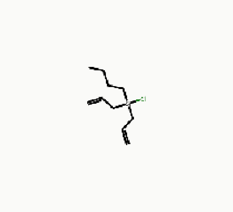 C=CC[Si](Cl)(CC=C)CCCC